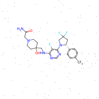 NC(=O)CN1CCC(O)(CNc2ncnc(N3CC(F)(F)C[C@@H]3c3ccc(C(F)(F)F)cc3)c2F)CC1